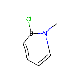 CN1C=CC=CB1Cl